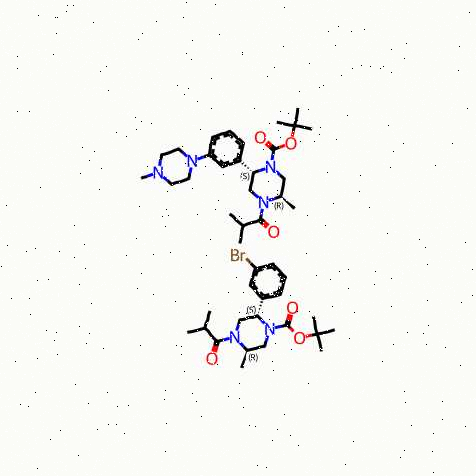 CC(C)C(=O)N1C[C@H](c2cccc(Br)c2)N(C(=O)OC(C)(C)C)C[C@H]1C.CC(C)C(=O)N1C[C@H](c2cccc(N3CCN(C)CC3)c2)N(C(=O)OC(C)(C)C)C[C@H]1C